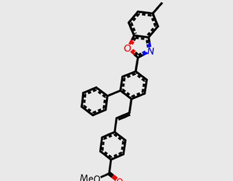 COC(=O)c1ccc(C=Cc2ccc(-c3nc4cc(C)ccc4o3)cc2-c2ccccc2)cc1